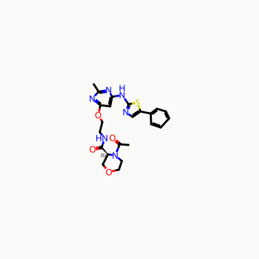 CC(=O)N1CCOC[C@H]1C(=O)NCCOc1cc(Nc2ncc(-c3ccccc3)s2)nc(C)n1